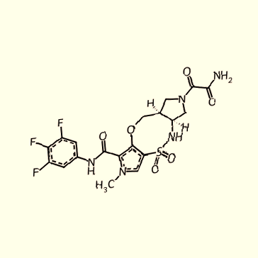 Cn1cc2c(c1C(=O)Nc1cc(F)c(F)c(F)c1)OC[C@H]1CN(C(=O)C(N)=O)C[C@H]1NS2(=O)=O